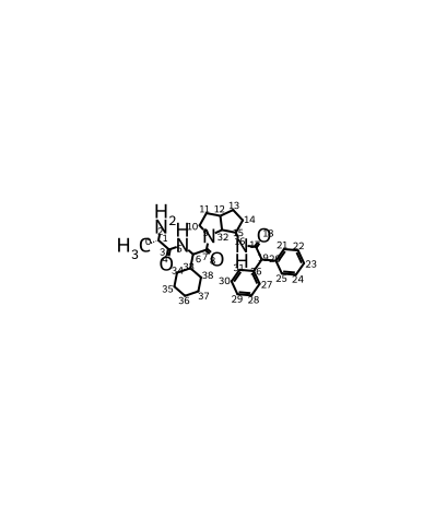 C[C@H](N)C(=O)NC(C(=O)N1CCC2CCC(NC(=O)C(c3ccccc3)c3ccccc3)C21)C1CCCCC1